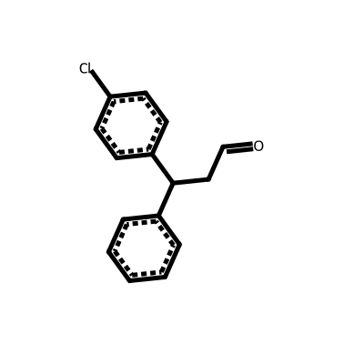 O=CCC(c1ccccc1)c1ccc(Cl)cc1